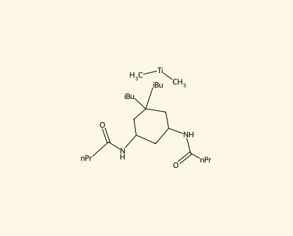 CCCC(=O)NC1CC(NC(=O)CCC)CC(C(C)CC)(C(C)CC)C1.[CH3][Ti][CH3]